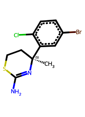 C[C@@]1(c2cc(Br)ccc2Cl)CCSC(N)=N1